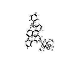 Cc1ccc2c3ccccc3c3cc(B4OC(C)(C)C(C)(C)O4)ccc3c2c1-c1ccccc1Cc1ccccc1